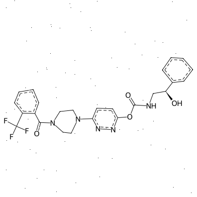 O=C(NC[C@H](O)c1ccccc1)Oc1ccc(N2CCN(C(=O)c3ccccc3C(F)(F)F)CC2)nn1